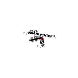 COCCOCCOCCOCC(=O)N[C@@H](CCCCN)C(=O)O.NC(=O)N1CCN(S(=O)(=O)C(F)(F)C(F)(F)C(F)(F)C(F)(F)C(F)(F)C(F)(F)C(F)(F)C(F)(F)F)CC1